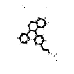 O=C(O)/C=C/c1ccc(C2c3ccccc3CCC2c2ccccc2)cc1